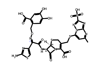 Cc1cc(SCC2=C(C(=O)O)N3C(=O)[C@@H](NC(=O)/C(=N\OCc4cc(O)c(O)cc4C(=O)O)c4csc(N)n4)[C@H]3SC2)n2nc(S(=O)(=O)O)nc2n1